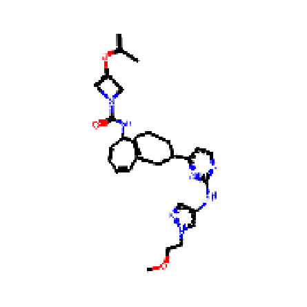 COCCn1cc(Nc2nccc(C3CCC4=C(C=CC=CC4NC(=O)N4CC(OC(C)C)C4)C3)n2)cn1